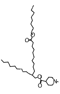 CCCCCCCCCCC(CCCCCCCCCC(=O)OCCCCCCCC)COC(=O)C1CCN(C)CC1